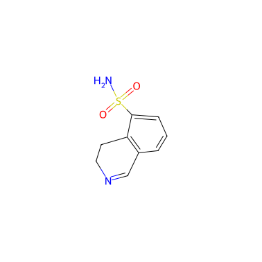 NS(=O)(=O)c1cccc2c1CCN=C2